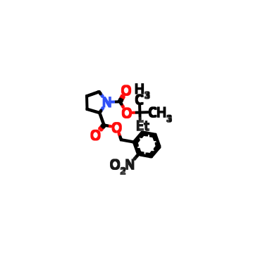 CCC(C)(C)OC(=O)N1CCCC1C(=O)OCc1ccccc1[N+](=O)[O-]